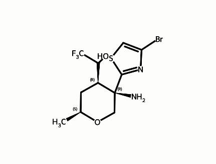 C[C@H]1C[C@@H](C(O)C(F)(F)F)[C@](N)(c2nc(Br)cs2)CO1